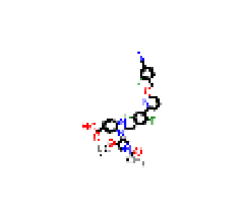 CO[C@H]1CN(C(C)=O)C[C@H]1n1c(Cc2cc(F)c(-c3cccc(OCc4ccc(C#N)cc4F)n3)cc2F)nc2ccc(C(=O)O)cc21